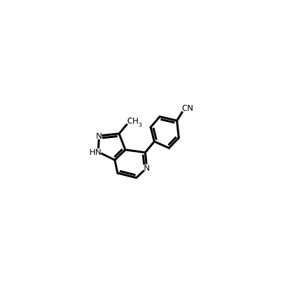 Cc1n[nH]c2ccnc(-c3ccc(C#N)cc3)c12